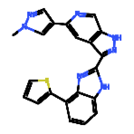 Cn1cc(-c2cc3c(-c4nc5c(-c6cccs6)cccc5[nH]4)n[nH]c3cn2)cn1